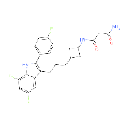 NC(=O)CC(=O)NC1CC(CCCc2c(-c3ccc(F)cc3)[nH]c3c(F)cc(F)cc23)C1